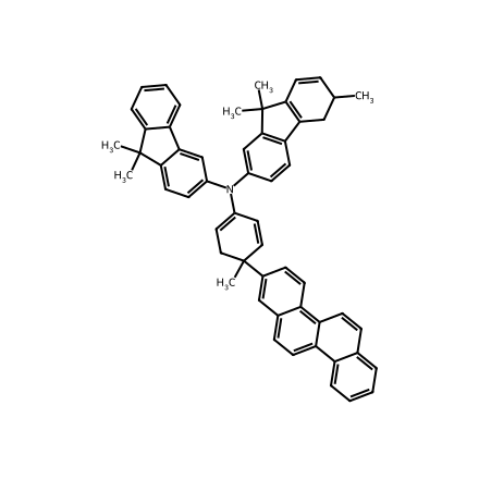 CC1C=CC2=C(C1)c1ccc(N(C3=CCC(C)(c4ccc5c(ccc6c7ccccc7ccc56)c4)C=C3)c3ccc4c(c3)-c3ccccc3C4(C)C)cc1C2(C)C